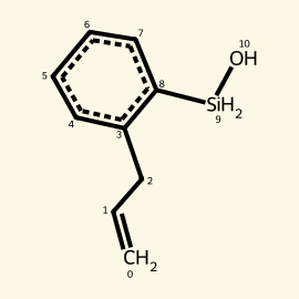 C=CCc1ccccc1[SiH2]O